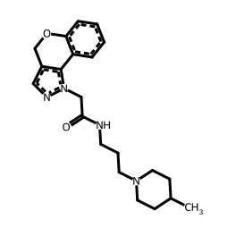 CC1CCN(CCCNC(=O)Cn2ncc3c2-c2ccccc2OC3)CC1